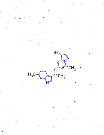 Cc1ccc2c(C(C)Cc3cc(C)n4ncc(C(C)C)c4c3)cnn2c1